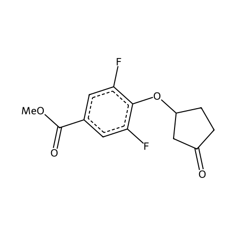 COC(=O)c1cc(F)c(OC2CCC(=O)C2)c(F)c1